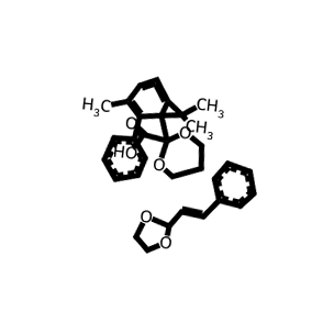 C(=CC1OCCO1)c1ccccc1.CC1=C(c2ccccc2)C2(C3(C(=O)O)OCCCO3)C(=C=C1)C2(C)C